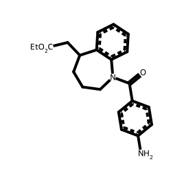 CCOC(=O)CC1CCCN(C(=O)c2ccc(N)cc2)c2ccccc21